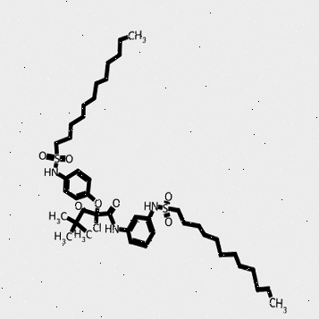 CCCCCCCCCCCCS(=O)(=O)Nc1ccc(OC(Cl)(C(=O)Nc2cccc(NS(=O)(=O)CCCCCCCCCCCC)c2)C(=O)C(C)(C)C)cc1